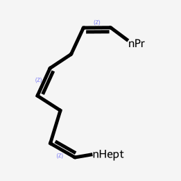 [CH2]CCCCCC/C=C\C/C=C\C/C=C\CCC